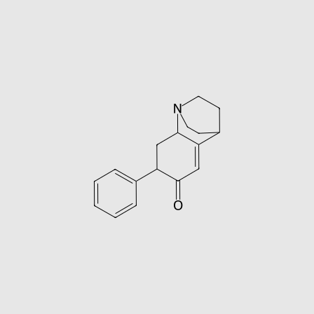 O=C1C=C2C3CCN(CC3)C2CC1c1ccccc1